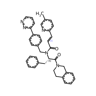 Cc1ccc(/C=C/C(=O)N(Cc2ccc(-c3cccnn3)cc2)[C@@H](Cc2ccccc2)C(=O)N2CCc3ccccc3C2)nc1